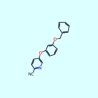 N#Cc1ccc(Oc2cccc(OCc3ccccc3)c2)cn1